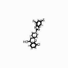 OC1CC2(CCN(c3nc4c(F)cc(F)cc4s3)CC2)Oc2c(Cl)cccc21